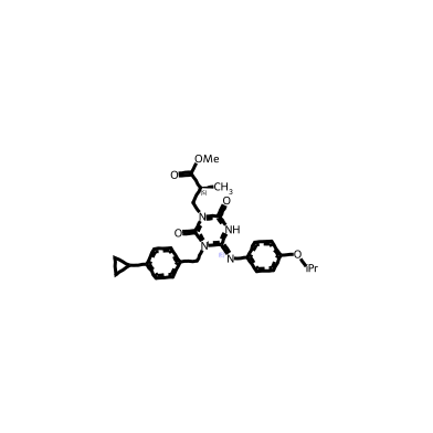 COC(=O)[C@@H](C)Cn1c(=O)[nH]/c(=N\c2ccc(OC(C)C)cc2)n(Cc2ccc(C3CC3)cc2)c1=O